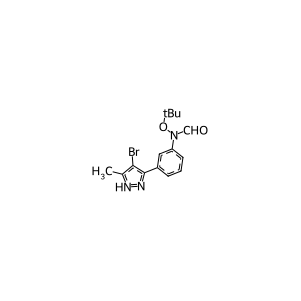 Cc1[nH]nc(-c2cccc(N(C=O)OC(C)(C)C)c2)c1Br